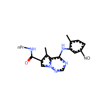 CCCNC(=O)c1cn2ncnc(Nc3cc(N=O)ccc3C)c2c1C